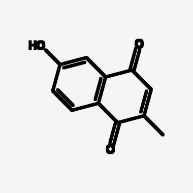 CC1=CC(=O)c2cc(O)ccc2C1=O